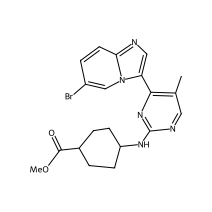 COC(=O)C1CCC(Nc2ncc(C)c(-c3cnc4ccc(Br)cn34)n2)CC1